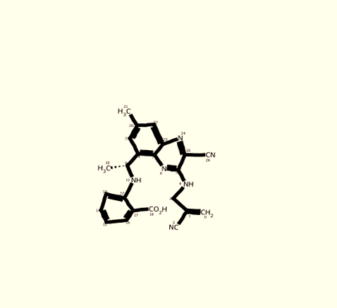 C=C(C#N)CNc1nc2c([C@@H](C)Nc3ccccc3C(=O)O)cc(C)cc2nc1C#N